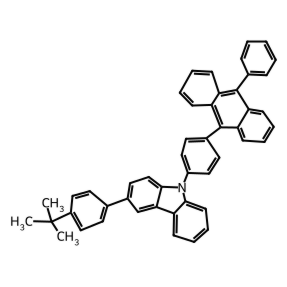 CC(C)(C)c1ccc(-c2ccc3c(c2)c2ccccc2n3-c2ccc(-c3c4ccccc4c(-c4ccccc4)c4ccccc34)cc2)cc1